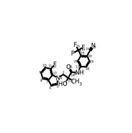 CC(O)(Cn1ccc2cccc(F)c21)C(=O)Nc1ccc(C#N)c(C(F)(F)F)c1